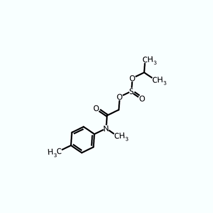 Cc1ccc(N(C)C(=O)COS(=O)OC(C)C)cc1